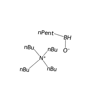 CCCCCB[O-].CCCC[N+](CCCC)(CCCC)CCCC